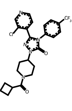 O=C(C1CCC1)N1CCC(n2nc(-c3ccncc3Cl)n(-c3ccc(C(F)(F)F)cc3)c2=O)CC1